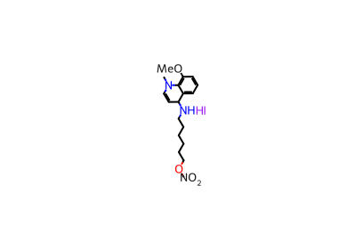 COc1cccc2c1N(C)C=CC2NCCCCCCO[N+](=O)[O-].I